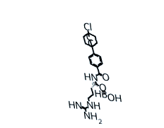 N=C(N)NCCC[C@H](NC(=O)c1ccc(C23CCC(Cl)(CC2)CC3)cc1)OBO